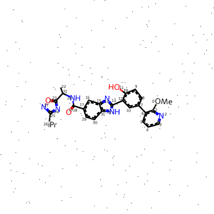 COc1ncccc1-c1ccc(O)c(-c2nc3cc(C(=O)NC(C)c4nc(C(C)C)no4)ccc3[nH]2)c1